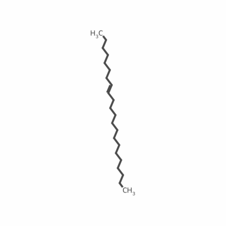 CCCCCCC/C=C/CCCCCCCCCCCCC